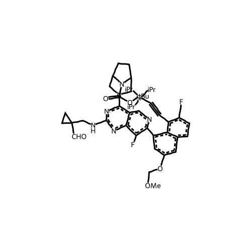 COCOc1cc(-c2ncc3c(N4CC5CCC(C4)N5C(=O)OC(C)(C)C)nc(NCC4(C=O)CC4)nc3c2F)c2c(C#C[Si](C(C)C)(C(C)C)C(C)C)c(F)ccc2c1